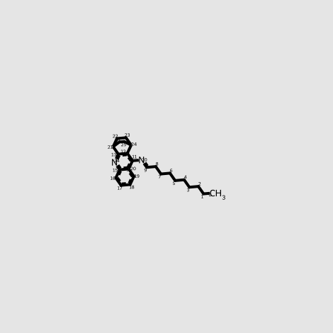 CCCCCCCCCC=Nc1c2c(nc3ccccc13)C1CCC2CC1